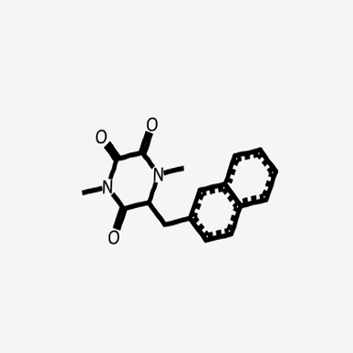 CN1C(=O)C(=O)N(C)C(Cc2ccc3ccccc3c2)C1=O